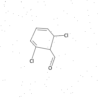 O=CC1C(Cl)=CC=CC1Cl